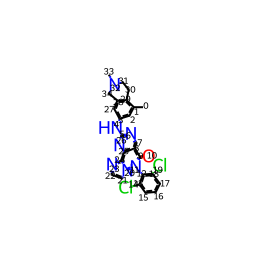 Cc1cc(Nc2ncc3c(=O)n(-c4c(Cl)cccc4Cl)n4ccnc4c3n2)cc2c1CCN(C)C2